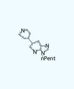 CCCCCn1cnc2cc(-c3ccncc3)cnc21